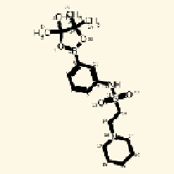 CC1(C)OB(c2cccc(NS(=O)(=O)CCN3CCCCC3)c2)OC1(C)C